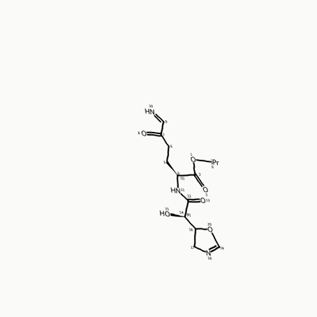 CC(C)OC(=O)[C@H](CCC(=O)C=N)NC(=O)[C@H](O)C1CN=CO1